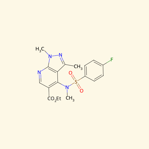 CCOC(=O)c1cnc2c(c(C)nn2C)c1N(C)S(=O)(=O)c1ccc(F)cc1